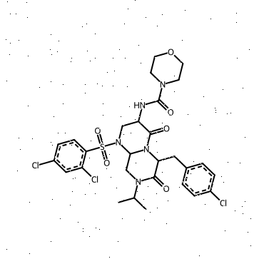 CC(C)N1CC2N(C(=O)C(NC(=O)N3CCOCC3)CN2S(=O)(=O)c2ccc(Cl)cc2Cl)C(Cc2ccc(Cl)cc2)C1=O